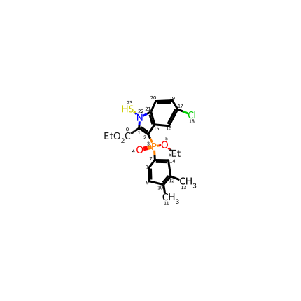 CCOC(=O)c1c(P(=O)(OCC)c2ccc(C)c(C)c2)c2cc(Cl)ccc2n1S